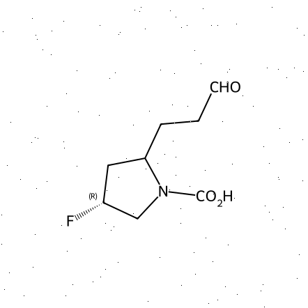 O=CCCC1C[C@@H](F)CN1C(=O)O